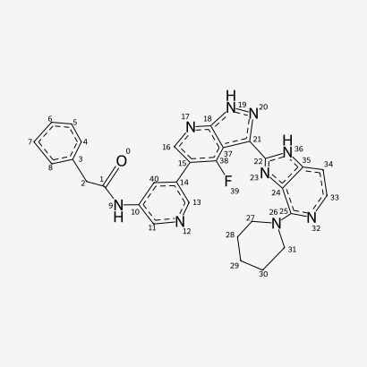 O=C(Cc1ccccc1)Nc1cncc(-c2cnc3[nH]nc(-c4nc5c(N6CCCCC6)nccc5[nH]4)c3c2F)c1